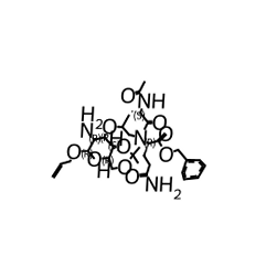 C=CCO[C@@H]1O[C@@H]2COC(C)(C)O[C@H]2[C@H](OC(C)CN(C(=O)[C@H](C)NC(C)=O)[C@H](CCC(N)=O)C(=O)OCc2ccccc2)[C@H]1N